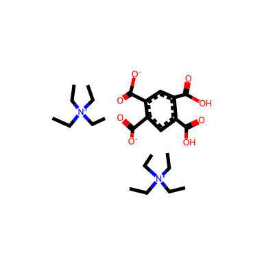 CC[N+](CC)(CC)CC.CC[N+](CC)(CC)CC.O=C([O-])c1cc(C(=O)O)c(C(=O)O)cc1C(=O)[O-]